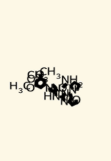 COc1cc(-n2cnc(Nc3nc(N4CCC[C@H]4C(N)=O)c4occc4n3)c2)cc(OC)c1OC